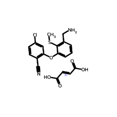 CSc1c(CN)cccc1Oc1cc(Cl)ccc1C#N.O=C(O)/C=C/C(=O)O